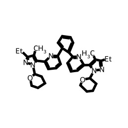 CCc1nn(C2CCCCO2)c(-c2cccc(-c3ccccc3-c3cccc(-c4c(C)c(CC)nn4C4CCCCO4)n3)n2)c1C